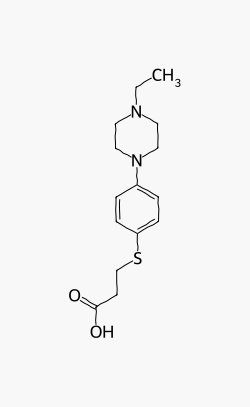 CCN1CCN(c2ccc(SCCC(=O)O)cc2)CC1